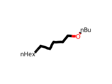 [CH2]CCCCCCCCCCOCCCC